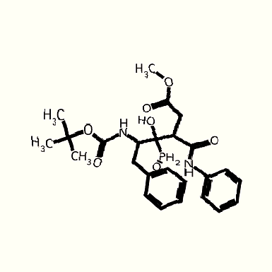 COC(=O)CC(C(=O)Nc1ccccc1)C(O)([PH2]=O)C(Cc1ccccc1)NC(=O)OC(C)(C)C